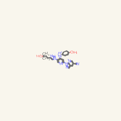 CC(C)(O)CCc1cn(-c2cnc(-n3ncc4cc(C#N)cnc43)cc2N[C@H]2CC[C@H](O)CC2)nn1